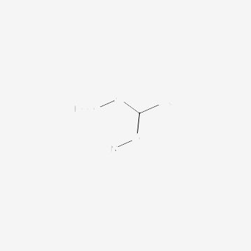 CCCCC(OC(=O)O)O[N+](=O)[O-]